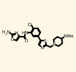 CNC1CCN(Cc2ncc(-c3ccc(Cl)c(NC(=O)c4coc(N)n4)c3)s2)CC1